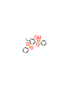 CCc1cc(O)c(S(=O)(=O)c2ccccc2)cc1S(=O)(=O)c1ccccc1